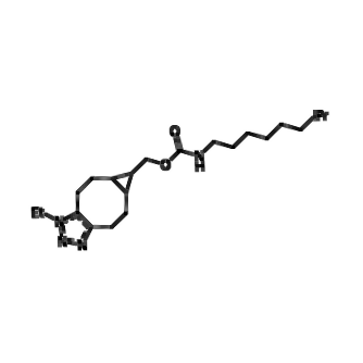 CCn1nnc2c1CCC1C(CC2)C1COC(=O)NCCCCCCC(C)C